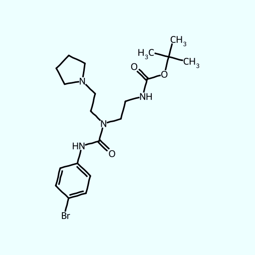 CC(C)(C)OC(=O)NCCN(CCN1CCCC1)C(=O)Nc1ccc(Br)cc1